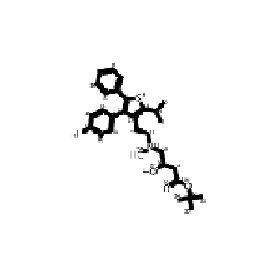 CC(C)c1sc(-c2ccccc2)c(-c2ccc(F)cc2)c1CCN(O)CC(O)CC(=O)OC(C)(C)C